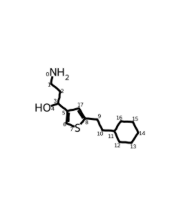 NCCC(O)c1csc(CCC2CCCCC2)c1